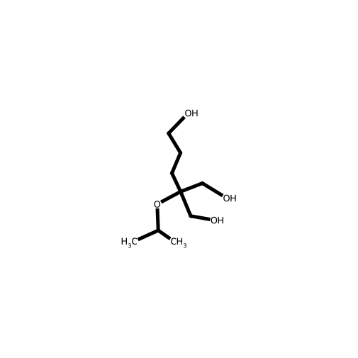 CC(C)OC(CO)(CO)CCCO